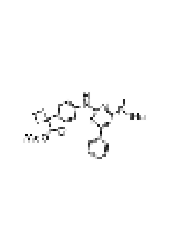 COC(=O)C1(c2ccc(Nc3nc(-c4ccccc4)cc(N(C)C(C)(C)C)n3)cc2)CCC1